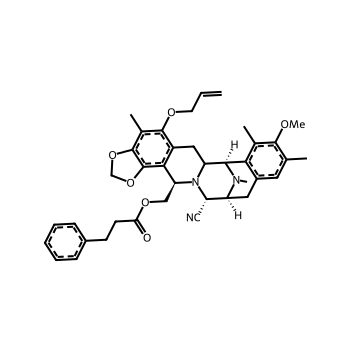 C=CCOc1c(C)c2c(c3c1CC1[C@H]4c5c(cc(C)c(OC)c5C)C[C@@H]([C@H](C#N)N1[C@H]3COC(=O)CCc1ccccc1)N4C)OCO2